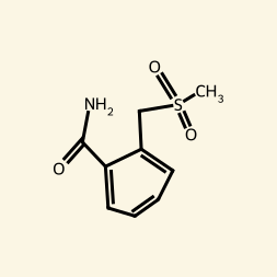 CS(=O)(=O)Cc1ccccc1C(N)=O